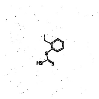 CCc1ccccc1SC(=S)S